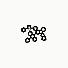 c1ccc(-c2c3ccccc3c(-c3ccc4c(c3)C3(Cc5ccccc5C3)c3ccccc3-4)c3cc(-n4c(-c5ccccc5)ccc4-c4ccccc4)ccc23)cc1